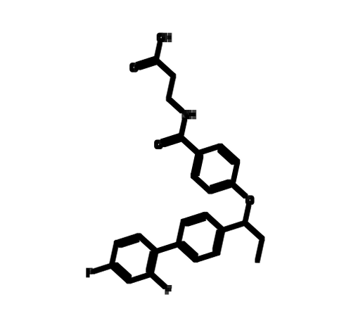 CCC(Oc1ccc(C(=O)NCCC(=O)O)cc1)c1ccc(-c2ccc(F)cc2F)cc1